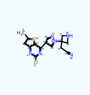 Cc1cc2nc(Cl)nc(-c3cnn(C4(CC#N)CNC4)c3)c2s1